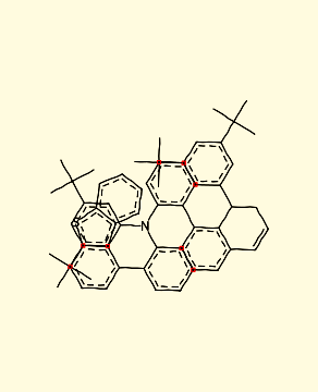 CC(C)(C)c1cc(C2CC=Cc3cccc(-c4ccccc4N(c4cc(C(C)(C)C)cc(C(C)(C)C)c4)c4ccccc4-c4cccc5sc6ccccc6c45)c32)cc(C(C)(C)C)c1